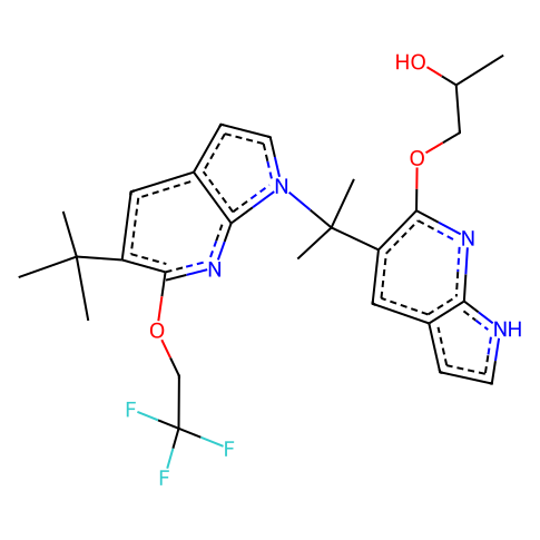 CC(O)COc1nc2[nH]ccc2cc1C(C)(C)n1ccc2cc(C(C)(C)C)c(OCC(F)(F)F)nc21